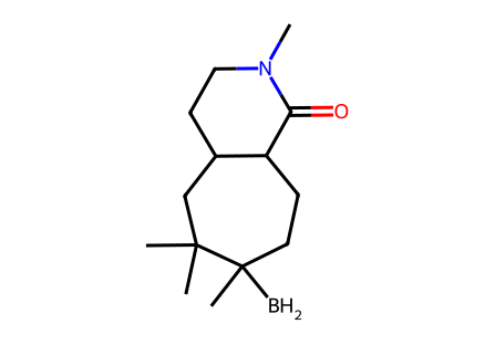 BC1(C)CCC2C(=O)N(C)CCC2CC1(C)C